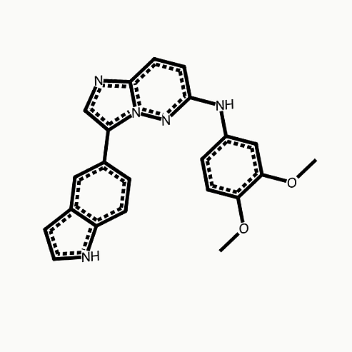 COc1ccc(Nc2ccc3ncc(-c4ccc5[nH]ccc5c4)n3n2)cc1OC